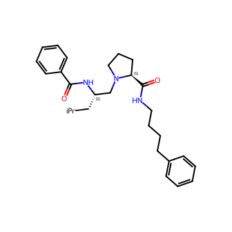 CC(C)C[C@@H](CN1CCC[C@H]1C(=O)NCCCCc1ccccc1)NC(=O)c1ccccc1